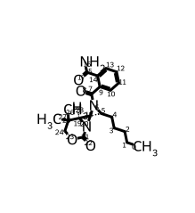 CCCCCC1N(C(=O)c2ccccc2C(N)=O)[C@@]12[C@H]1N2C(=O)OCC1(C)C